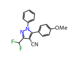 COc1ccc(-c2c(C#N)c(C(F)F)nn2-c2ccccc2)cc1